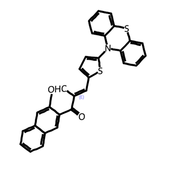 Cc1cc2ccccc2cc1C(=O)/C(C=O)=C/c1ccc(N2c3ccccc3Sc3ccccc32)s1